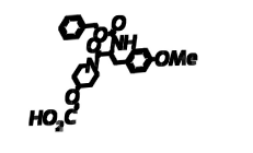 COc1ccc(CC(NC(=O)OCc2ccccc2)C(=O)N2CCC(OCC(=O)O)CC2)cc1